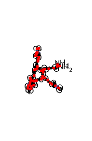 COC(=O)/C=C/c1ccc(OCCCCCCOc2cc(COc3cc(OCc4cc(OCCCCCCOc5ccc(/C=C/C(=O)OC)cc5OC)cc(OCCCCCCOc5ccc(/C=C/C(=O)OC)cc5OC)c4)cc(C(=O)OCCCCCCOC(=O)c4cc(N)cc(N)c4)c3)cc(OCCCCCCOc3ccc(/C=C/C(=O)OC)cc3OC)c2)c(OC)c1